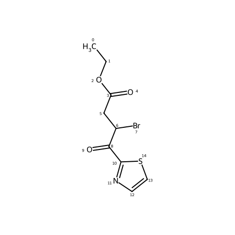 CCOC(=O)CC(Br)C(=O)c1nccs1